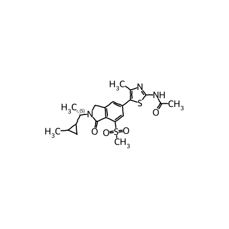 CC(=O)Nc1nc(C)c(-c2cc3c(c(S(C)(=O)=O)c2)C(=O)N([C@@H](C)C2CC2C)C3)s1